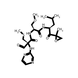 COC[C@H](NC(=O)[C@](C=O)(CSC)Nc1cnccn1)C(=O)N[C@@H](CC(C)C)C(=O)C1(C)CO1